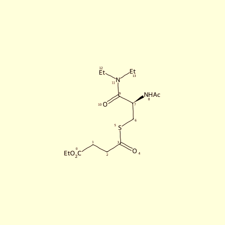 CCOC(=O)CCC(=O)SC[C@H](NC(C)=O)C(=O)N(CC)CC